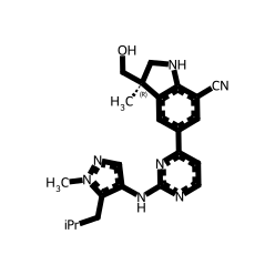 CC(C)Cc1c(Nc2nccc(-c3cc(C#N)c4c(c3)[C@@](C)(CO)CN4)n2)cnn1C